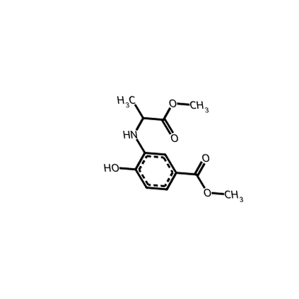 COC(=O)c1ccc(O)c(NC(C)C(=O)OC)c1